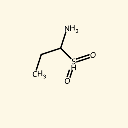 CCC(N)[SH](=O)=O